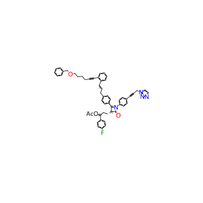 CC(=O)O[C@@H](CC[C@H]1C(=O)N(c2ccc(C#CCn3ccnn3)cc2)[C@@H]1c1ccc(C/C=C/c2ccccc2C#CCCCCOCc2ccccc2)cc1)c1ccc(F)cc1